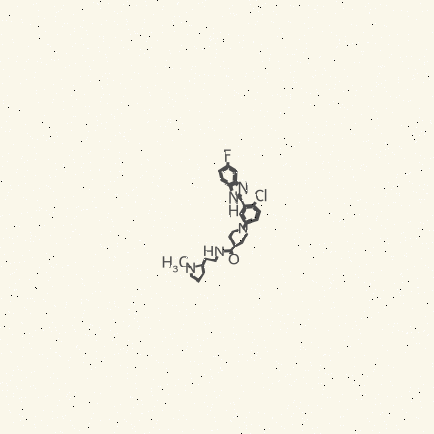 CN1CCCC1CCNC(=O)C1CCN(c2ccc(Cl)c(-c3nc4cc(F)ccc4[nH]3)c2)CC1